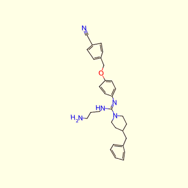 N#Cc1ccc(COc2ccc(/N=C(\NCCCN)N3CCC(Cc4ccccc4)CC3)cc2)cc1